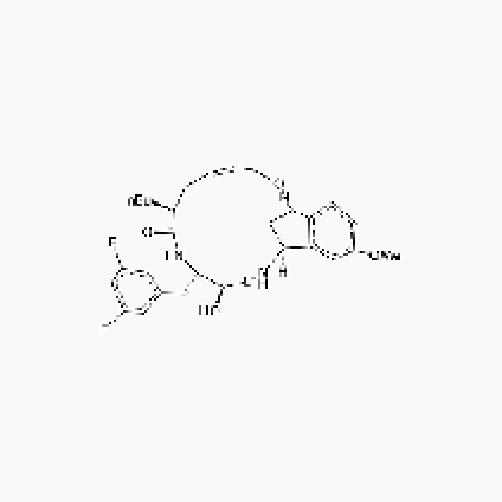 CCCC[C@H]1CC=CCO[C@@H]2C[C@H](NC[C@@H](O)[C@H](Cc3cc(F)cc(F)c3)NC1=O)c1cc(OC)ccc12